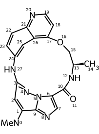 CNc1cc2nn3c(cnc13)C(=O)N[C@H](C)COc1ccnc3ccc(cc13)N2